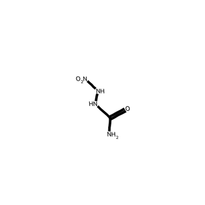 NC(=O)NN[N+](=O)[O-]